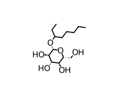 CCCCCC(CC)O[C@@H]1O[C@H](CO)[C@@H](O)[C@H](O)[C@H]1O